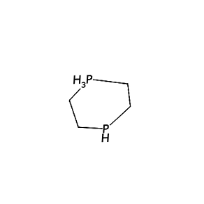 C1C[PH3]CCP1